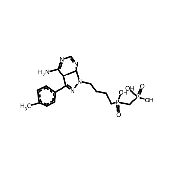 Cc1ccc(C2=NN(CCCCP(=O)(O)CP(=O)(O)O)C3N=CN=C(N)C23)cc1